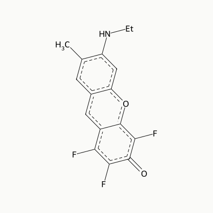 CCNc1cc2oc3c(F)c(=O)c(F)c(F)c-3cc2cc1C